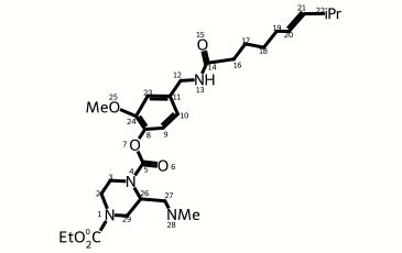 CCOC(=O)N1CCN(C(=O)Oc2ccc(CNC(=O)CCCC/C=C/C(C)C)cc2OC)C(CNC)C1